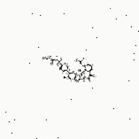 CN1C(=O)c2cccc(OC(F)F)c2[C@H]2C[C@@H]1c1nc3cc(F)c(-c4cnc(C(C)(C)NC(=O)OC(C)(C)C)nc4)cc3n12